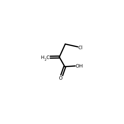 C=C(CCl)C(=O)O